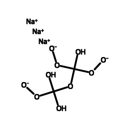 [Na+].[Na+].[Na+].[O-]OC(O)(O)OC(O)(O[O-])O[O-]